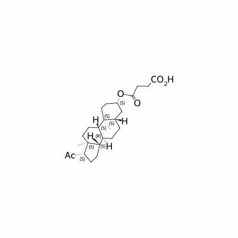 CC(=O)[C@H]1CC[C@H]2[C@@H]3CC[C@H]4C[C@@H](OC(=O)CCC(=O)O)CC[C@]4(C)[C@H]3CC[C@]12C